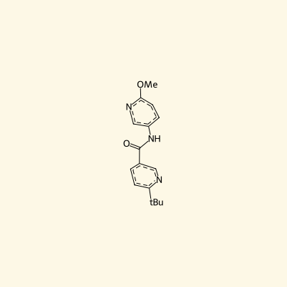 COc1ccc(NC(=O)c2ccc(C(C)(C)C)nc2)cn1